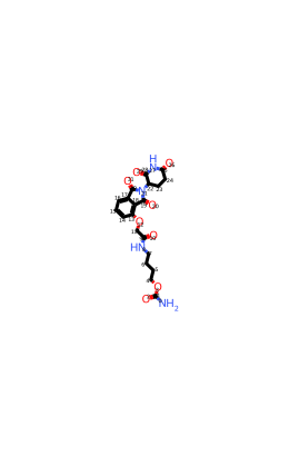 NC(=O)OCCCCNC(=O)COc1cccc2c1C(=O)N(C1CCC(=O)NC1=O)C2=O